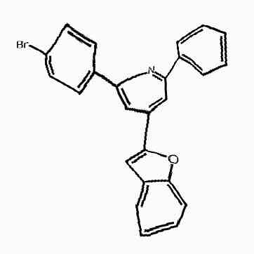 Brc1ccc(-c2cc(-c3cc4ccccc4o3)cc(-c3ccccc3)n2)cc1